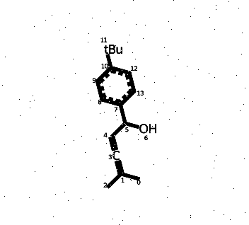 CC(C)=C=CC(O)c1ccc(C(C)(C)C)cc1